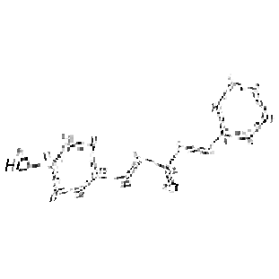 O=C(C=Cc1ccccc1)C=Cc1ccc(O)cc1